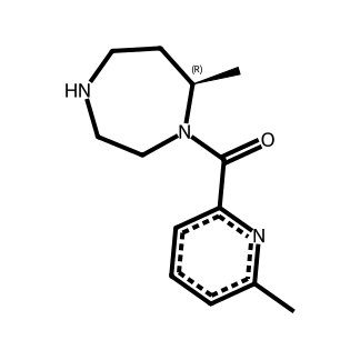 Cc1cccc(C(=O)N2CCNCC[C@H]2C)n1